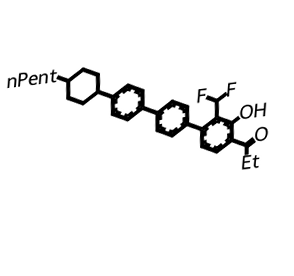 CCCCCC1CCC(c2ccc(-c3ccc(-c4ccc(C(=O)CC)c(O)c4C(F)F)cc3)cc2)CC1